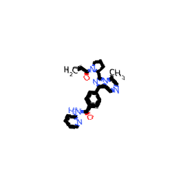 C=CC(=O)N1CCCC1c1nc(-c2ccc(C(=O)Nc3ccccn3)cc2)c2cncc(C)n12